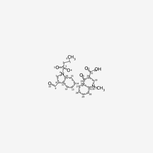 CCCS(=O)(=O)n1cc(C=O)c2ccccc21.Cn1cc(C(=O)O)c(=O)c2ccccc21